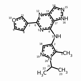 Cc1c(Nc2nc(-c3ccoc3)nc3cn[nH]c23)cnn1C(C)C